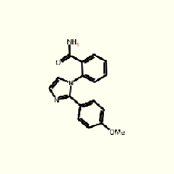 COc1ccc(-c2nccn2-c2ccccc2C(N)=O)cc1